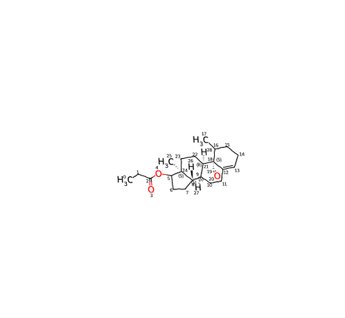 CCC(=O)OC1CC[C@H]2[C@@H]3CCC4=CCCC(C)[C@]4(C=O)[C@@H]3CC[C@]12C